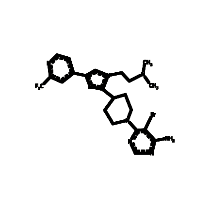 CN(C)CCn1cc(-c2ccnc(C(F)(F)F)c2)nc1C1CCN(c2ncnc(N)c2Br)CC1